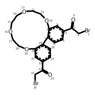 O=C(CBr)c1ccc2c(c1)OCCOCCOCCOc1cc(C(=O)CBr)ccc1-2